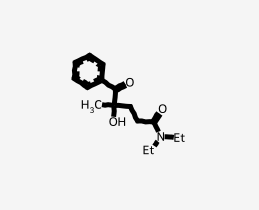 CCN(CC)C(=O)CCC(C)(O)C(=O)c1ccccc1